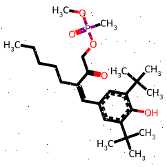 CCCCCC(=Cc1cc(C(C)(C)C)c(O)c(C(C)(C)C)c1)C(=O)COP(C)(=O)OC